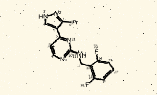 CC(C)c1n[nH]cc1-c1ccnc(NCc2c(F)cccc2F)n1